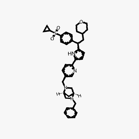 O=S(=O)(c1ccc(C(CC2CCOCC2)c2ccc(-c3ccc(CN4C[C@@H]5C[C@H]4CN5Cc4ccccc4)cn3)[nH]2)cc1)C1CC1